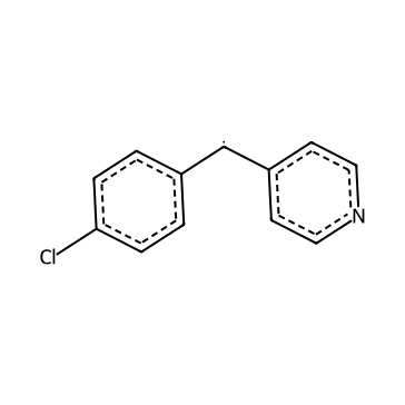 Clc1ccc([CH]c2ccncc2)cc1